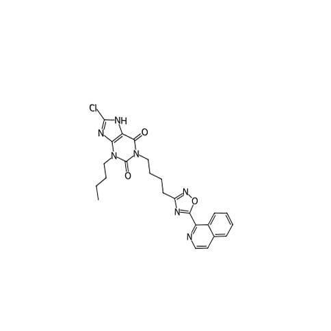 CCCCn1c(=O)n(CCCCc2noc(-c3nccc4ccccc34)n2)c(=O)c2[nH]c(Cl)nc21